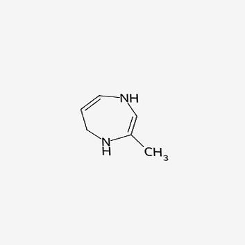 CC1=CNC=CCN1